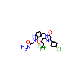 NC(=O)CNC(=O)c1cccc(Cn2c(CCCC(F)(F)F)nc(-c3ccc(Cl)cc3)cc2=O)c1